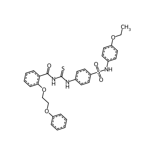 CCOc1ccc(NS(=O)(=O)c2ccc(NC(=S)NC(=O)c3ccccc3OCCOc3ccccc3)cc2)cc1